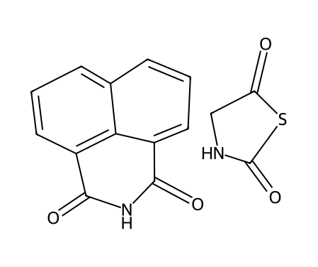 O=C1CNC(=O)S1.O=C1NC(=O)c2cccc3cccc1c23